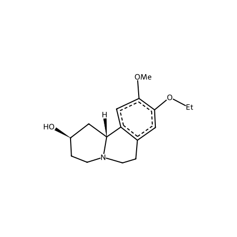 CCOc1cc2c(cc1OC)[C@H]1C[C@H](O)CCN1CC2